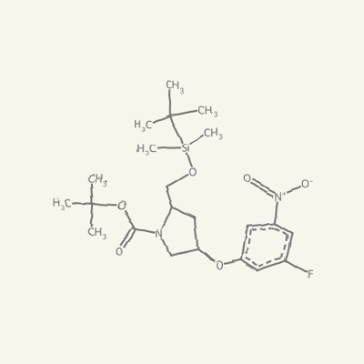 CC(C)(C)OC(=O)N1CC(Oc2cc(F)cc([N+](=O)[O-])c2)CC1CO[Si](C)(C)C(C)(C)C